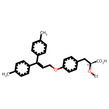 CCO[C@@H](Cc1ccc(OCC=C(c2ccc(C)cc2)c2ccc(C)cc2)cc1)C(=O)O